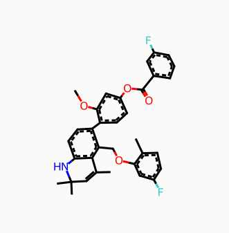 COc1cc(OC(=O)c2cccc(F)c2)ccc1-c1ccc2c(c1COc1cc(F)ccc1C)C(C)=CC(C)(C)N2